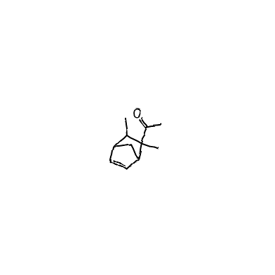 CC(=O)C1(C)C2C=CC(C2)C1C